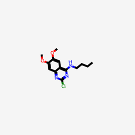 CCCCNc1nc(Cl)nc2cc(OC)c(OC)cc12